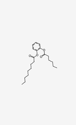 CCCCCCCCC(=O)Oc1ccccc1OC(=O)CCCCC